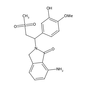 COc1ccc(C(CS(C)(=O)=O)N2Cc3cccc(N)c3C2=O)cc1O